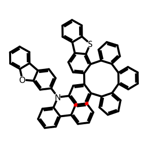 c1ccc(-c2ccccc2N(c2ccc3c(c2)oc2ccccc23)c2ccc3c4ccccc4c4ccccc4c4ccccc4c4c(ccc5c6ccccc6sc54)c3c2)cc1